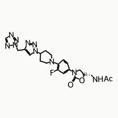 CC(=O)NC[C@H]1CN(c2ccc(N3CCC(n4cc(Cn5ncnn5)nn4)CC3)c(F)c2)C(=O)O1